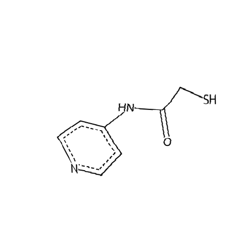 O=C(CS)Nc1ccncc1